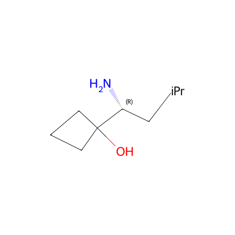 CC(C)C[C@@H](N)C1(O)CCC1